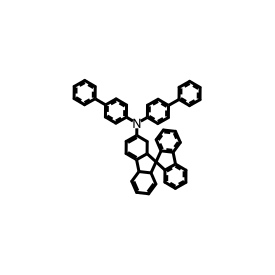 C1=CC2C3=CC=C(N(c4ccc(-c5ccccc5)cc4)c4ccc(-c5ccccc5)cc4)CC3C3(c4ccccc4-c4ccccc43)C2C=C1